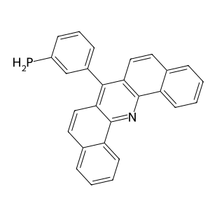 Pc1cccc(-c2c3ccc4ccccc4c3nc3c2ccc2ccccc23)c1